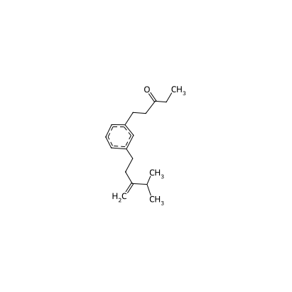 C=C(CCc1cccc(CCC(=O)CC)c1)C(C)C